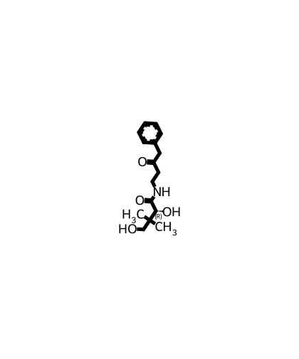 CC(C)(CO)[C@@H](O)C(=O)NCCC(=O)Cc1ccccc1